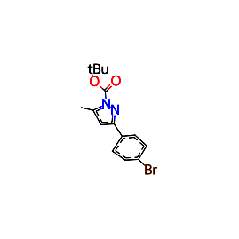 Cc1cc(-c2ccc(Br)cc2)nn1C(=O)OC(C)(C)C